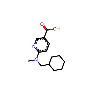 CN(CC1CCCCC1)c1ccc(C(=O)O)cn1